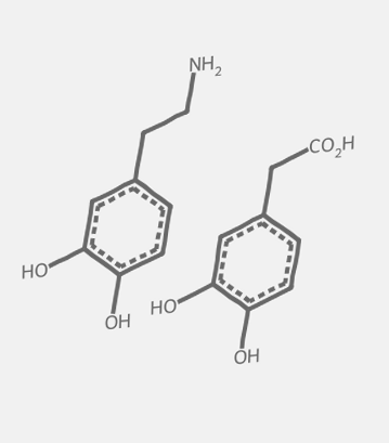 NCCc1ccc(O)c(O)c1.O=C(O)Cc1ccc(O)c(O)c1